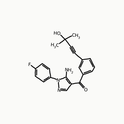 CC(C)(O)C#Cc1cccc(C(=O)c2cnn(-c3ccc(F)cc3)c2N)c1